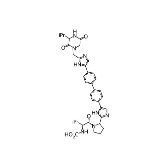 CC(C)C1NC(=O)CN(Cc2ncc(-c3ccc(-c4ccc(-c5cnc(C6CCCN6C(=O)C(NC(=O)O)C(C)C)[nH]5)cc4)cc3)[nH]2)C1=O